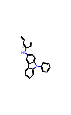 C=C/C=C(\C=C)Nc1ccc2c(c1)c1ccccc1n2-c1ccccc1